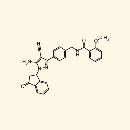 COc1ccccc1C(=O)NCc1ccc(-c2nn(C3CC(=O)c4ccccc43)c(N)c2C#N)cc1